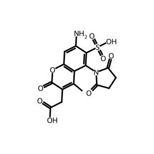 Cc1c(CC(=O)O)c(=O)oc2cc(N)c(S(=O)(=O)O)c(N3C(=O)CCC3=O)c12